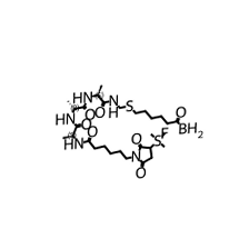 BC(=O)CCCCCSCNC(=O)[C@H](C)NC(=O)[C@@H](C)NC(=O)[C@H](C)NC(=O)CCCCCN1C(=O)CC(S(C)(C)F)C1=O